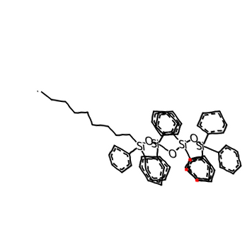 [CH2]CCCCCCCC[Si](O[Si](O[Si](O[Si](c1ccccc1)(c1ccccc1)c1ccccc1)(c1ccccc1)c1ccccc1)(c1ccccc1)c1ccccc1)(c1ccccc1)c1ccccc1